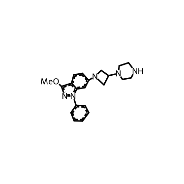 COc1nn(-c2ccccc2)c2cc(N3CC(N4CCNCC4)C3)ccc12